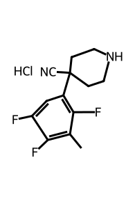 Cc1c(F)c(F)cc(C2(C#N)CCNCC2)c1F.Cl